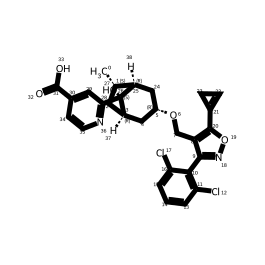 C[C@H]1C[C@@H]2C[C@@H](OCc3c(-c4c(Cl)cccc4Cl)noc3C3=CC3)C[C@H]1[C@]2(O)c1cc(C(=O)O)ccn1